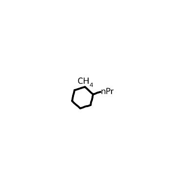 C.CCCC1CCCCC1